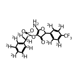 [2H]c1c([2H])c([2H])c(C([2H])([2H])S(=O)(=O)OC2=C(N)OC(c3c([2H])c([2H])c(C(F)(F)F)c([2H])c3[2H])C2=O)c([2H])c1[2H]